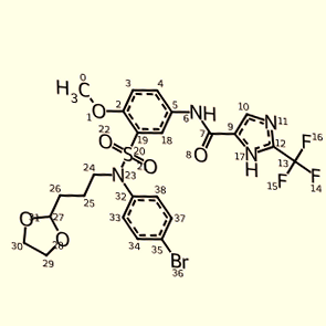 COc1ccc(NC(=O)c2cnc(C(F)(F)F)[nH]2)cc1S(=O)(=O)N(CCCC1OCCO1)c1ccc(Br)cc1